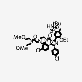 CCOc1cc(C)c(S(=O)(=O)NC(C)(C)C)cc1C1=N[C@@H](c2ccc(Cl)cc2)[C@@H](c2ccc(Cl)cc2)N1C(=O)N1CCN(CC(=O)N(CCOC)CCOC)CC1